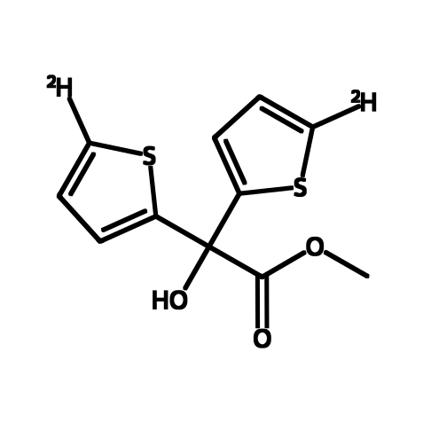 [2H]c1ccc(C(O)(C(=O)OC)c2ccc([2H])s2)s1